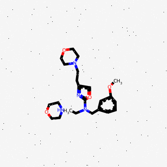 C1COCCN1.CCN(Cc1cccc(OC)c1)c1nc(CCN2CCOCC2)co1